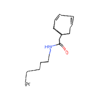 CC(C)CCCCNC(=O)C1CC=CC=CC1